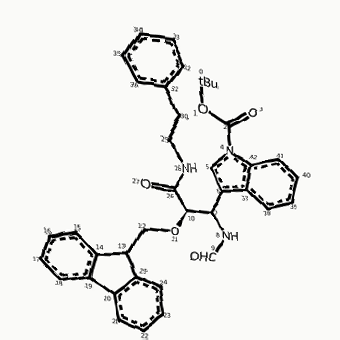 CC(C)(C)OC(=O)n1cc(C(NC=O)[C@@H](OCC2c3ccccc3-c3ccccc32)C(=O)NCCc2ccccc2)c2ccccc21